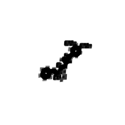 COc1ccc(-c2nc(CC(=O)N[C@@H](Cc3ccccc3)C(=O)O)cs2)cc1OC